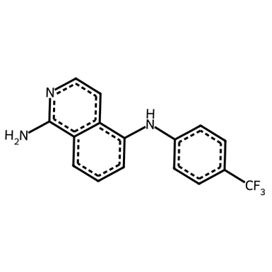 Nc1nccc2c(Nc3ccc(C(F)(F)F)cc3)cccc12